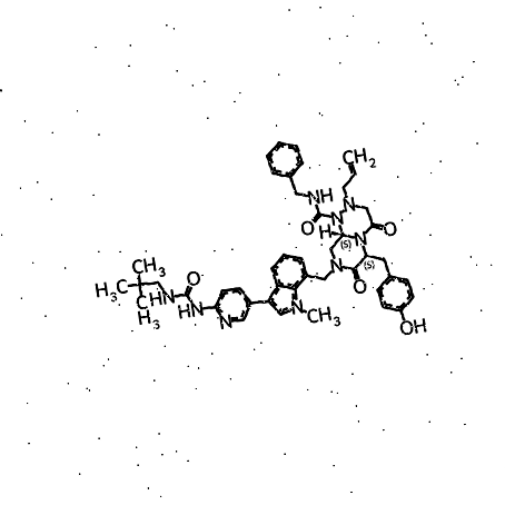 C=CCN1CC(=O)N2[C@@H](Cc3ccc(O)cc3)C(=O)N(Cc3cccc4c(-c5ccc(NC(=O)NCC(C)(C)C)nc5)cn(C)c34)C[C@@H]2N1C(=O)NCc1ccccc1